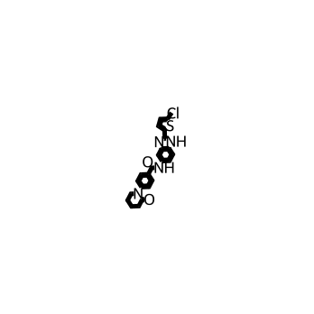 O=C(Nc1ccc2[nH]c(-c3ccc(Cl)s3)nc2c1)c1ccc(N2CCCCC2=O)cc1